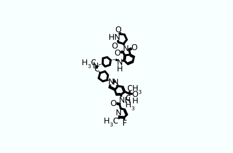 Cc1nc(C(=O)Nc2cc3cn([C@H]4CC[C@H](CN(C)[C@H]5CC[C@@H](CNc6cccc7c6C(=O)N(C6CCC(=O)NC6=O)C7=O)CC5)CC4)nc3cc2C(C)(C)O)ccc1F